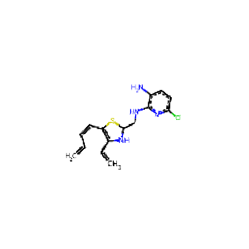 C=C/C=C\C1=C(C=C)NC(CNc2nc(Cl)ccc2N)S1